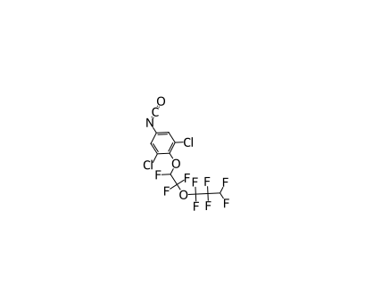 O=C=Nc1cc(Cl)c(OC(F)C(F)(F)OC(F)(F)C(F)(F)C(F)F)c(Cl)c1